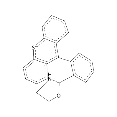 c1ccc(C2NCCO2)c(-c2c3ccccc3[s+]c3ccccc23)c1